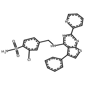 NS(=O)(=O)c1ccc(CNc2nc(-c3ccccn3)nc3scc(-c4ccccc4)c23)cc1Cl